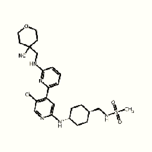 CS(=O)(=O)NC[C@H]1CC[C@H](Nc2cc(-c3cccc(NCC4(C#N)CCOCC4)n3)c(Cl)cn2)CC1